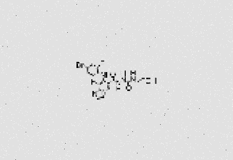 O=C(NCCO)NNC(=O)c1cn2ccnc2c(F)c1Nc1ccc(Br)cc1F